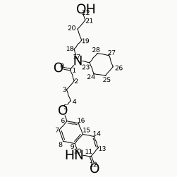 O=C(CCCOc1ccc2[nH]c(=O)ccc2c1)N(CCCCO)C1CCCCC1